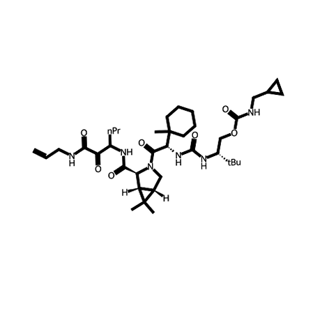 C=CCNC(=O)C(=O)C(CCC)NC(=O)[C@@H]1[C@@H]2[C@H](CN1C(=O)[C@@H](NC(=O)N[C@H](COC(=O)NCC1CC1)C(C)(C)C)C1(C)CCCCC1)C2(C)C